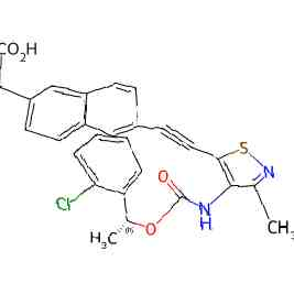 Cc1nsc(C#Cc2ccc3cc(CC(=O)O)ccc3c2)c1NC(=O)O[C@H](C)c1ccccc1Cl